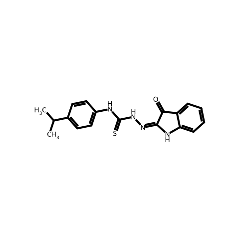 CC(C)c1ccc(NC(=S)NN=C2Nc3ccccc3C2=O)cc1